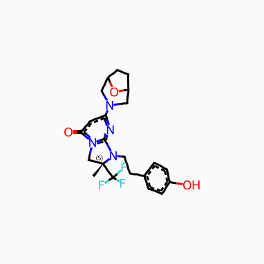 C[C@@]1(C(F)(F)F)Cn2c(nc(N3CC4CCC(C3)O4)cc2=O)N1CCc1ccc(O)cc1